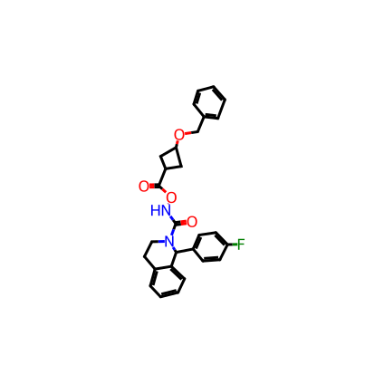 O=C(ONC(=O)N1CCc2ccccc2C1c1ccc(F)cc1)C1CC(OCc2ccccc2)C1